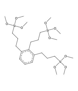 CO[Si](CCCc1cccc(CCC[Si](OC)(OC)OC)c1CCC[Si](OC)(OC)OC)(OC)OC